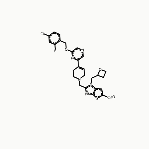 O=Cc1cc2c(nc(CN3CC=C(c4cncc(OCc5ccc(Cl)cc5F)n4)CC3)n2CC2CCO2)s1